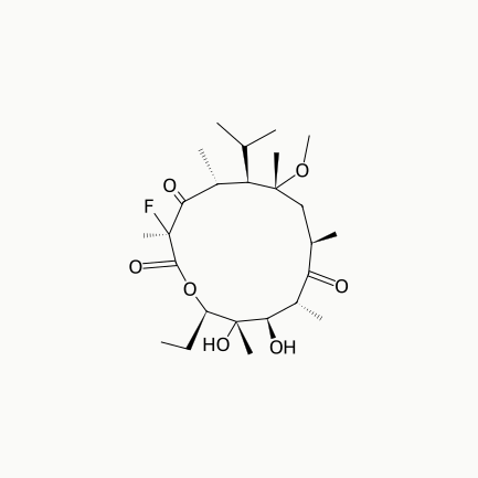 CC[C@H]1OC(=O)[C@@](C)(F)C(=O)[C@H](C)[C@@H](C(C)C)[C@](C)(OC)C[C@@H](C)C(=O)[C@H](C)[C@@H](O)[C@]1(C)O